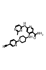 Cc1nccc(Nc2cc(NC3CCN(c4ccc(C#N)cn4)CC3)c(C(N)=O)cn2)n1